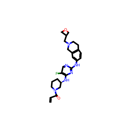 C=CC(=O)N1CCC[C@@H](Nc2nc(Nc3ccc4c(c3)CN(CC3COC3)CC4)ncc2F)C1